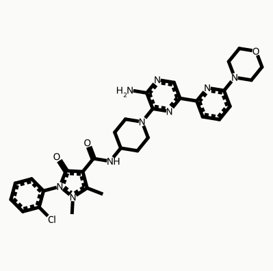 Cc1c(C(=O)NC2CCN(c3nc(-c4cccc(N5CCOCC5)n4)cnc3N)CC2)c(=O)n(-c2ccccc2Cl)n1C